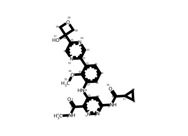 CNC(=O)c1nnc(NC(=O)C2CC2)cc1Nc1cccc(-c2cnc(C3(O)COC3)cn2)c1OC